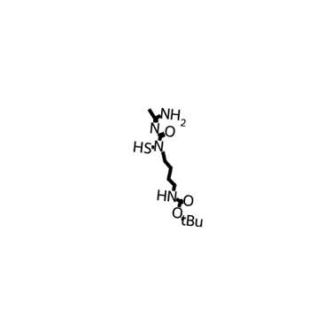 CC(N)=NC(=O)N(S)CCCCCNC(=O)OC(C)(C)C